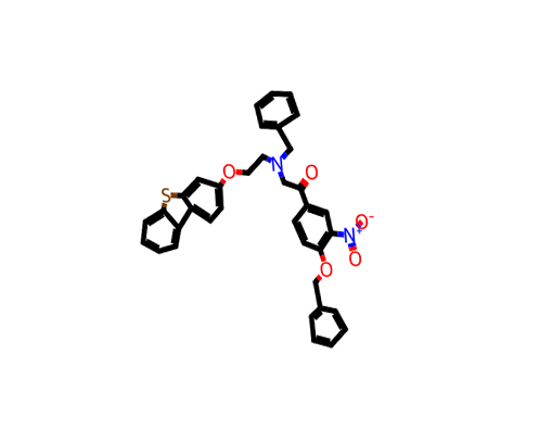 O=C(CN(CCOc1ccc2c(c1)sc1ccccc12)Cc1ccccc1)c1ccc(OCc2ccccc2)c([N+](=O)[O-])c1